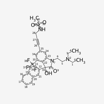 CCN(CC)CCN1C(=O)C(O)(c2ccc3ccccc3c2)c2c1cc(C#CCNS(C)(=O)=O)cc2C(F)(F)F